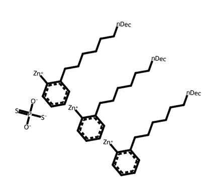 CCCCCCCCCCCCCCCCc1cccc[c]1[Zn+].CCCCCCCCCCCCCCCCc1cccc[c]1[Zn+].CCCCCCCCCCCCCCCCc1cccc[c]1[Zn+].[O-]P([O-])(=S)[S-]